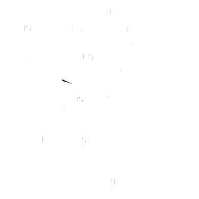 CCOC(=O)C(NC(=O)[C@H](CCC(=O)C=N)NC(=O)[C@H](Cc1c[nH]c2ccccc12)NC(C)=O)C(C)(C)O